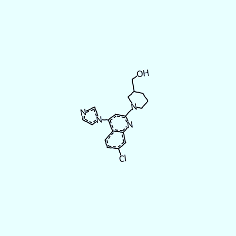 OCC1CCCN(c2cc(-n3ccnc3)c3ccc(Cl)cc3n2)C1